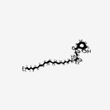 CCC=CCC=CCC=CCC=CCC=CCC=CCCCOC(CC)C(=O)NCCOC(=O)c1ccccc1O